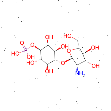 N[C@H]1[C@@H](O[C@H]2[C@H](O)[C@H](O)[C@H](OP(=O)(O)O)[C@@H](O)[C@@H]2O)O[C@H](CO)[C@@H](O)[C@@H]1O